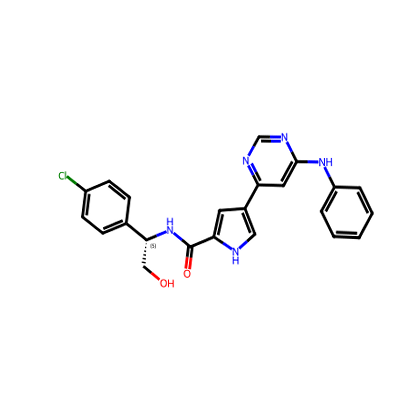 O=C(N[C@H](CO)c1ccc(Cl)cc1)c1cc(-c2cc(Nc3ccccc3)ncn2)c[nH]1